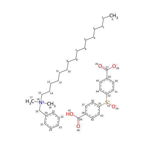 CCCCCCCCCCCCCCCC[N+](C)(C)Cc1ccccc1.O=C([O-])c1ccc([S+]([O-])c2ccc(C(=O)O)cc2)cc1